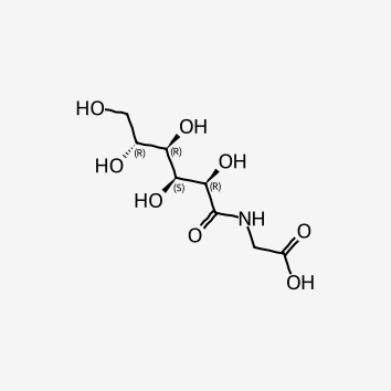 O=C(O)CNC(=O)[C@H](O)[C@@H](O)[C@H](O)[C@H](O)CO